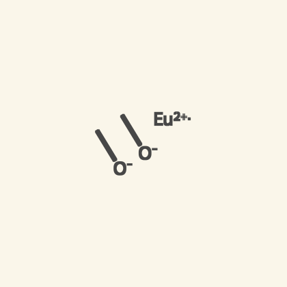 C[O-].C[O-].[Eu+2]